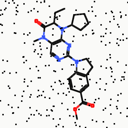 CCC1C(=O)N(C)c2cnc(N3CCc4cc(C(=O)OC)ccc43)nc2N1C1CCCC1